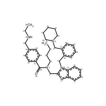 CCCCN(Cc1nc2ccccc2n1Cc1ccccc1CN1CCCCC1)C(=O)c1ccc(CNCC)cc1